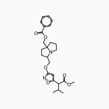 COC(=O)C(c1cc(OCC2CCC3(COC(=O)c4ccccc4)CCCN23)no1)C(C)C